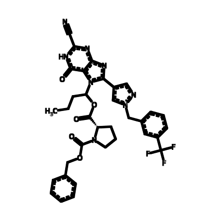 CCCC(OC(=O)[C@@H]1CCCN1C(=O)OCc1ccccc1)n1c(-c2cnn(Cc3cccc(C(F)(F)F)c3)c2)nc2nc(C#N)[nH]c(=O)c21